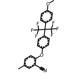 COc1ccc(C(c2ccc(Oc3ccc(C)cc3C#N)cc2)(C(F)(F)F)C(F)(F)F)cc1